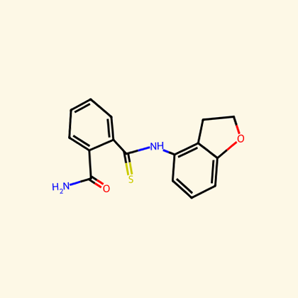 NC(=O)c1ccccc1C(=S)Nc1cccc2c1CCO2